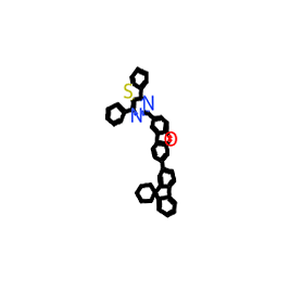 c1ccc(-c2nc(-c3ccc4oc5cc(-c6ccc7c(c6)C6(CCCCC6)c6ccccc6-7)ccc5c4c3)nc3c2sc2ccccc23)cc1